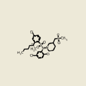 CCCC[C@@H](C)c1cc(Cl)ccc1S(=O)(=O)N(c1cc(Cl)ccc1Cl)N1CCCC(CS(C)(=O)=O)C1